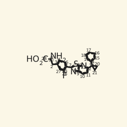 N[C@@H](Cc1ccc(-c2nc3ccc(C4(c5ccccc5)CC4)nc3s2)c(F)c1)C(=O)O